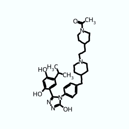 CC(=O)N1CCC(CCN2CCC(Cc3ccc(-n4c(O)nnc4-c4cc(C(C)C)c(O)cc4O)cc3)CC2)CC1